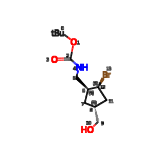 CC(C)(C)OC(=O)NC[C@@H]1C[C@@H](CO)C[C@@H]1Br